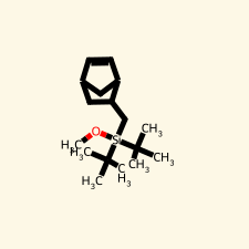 CO[Si](CC1CC2C=CC1C2)(C(C)(C)C)C(C)(C)C